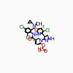 Cc1cc(Cl)cc(C(=O)N(C)C2CC2)c1NC(=O)C1=CC=C(O[SH](=O)=O)N(C2=NNCC2c2ncccc2Cl)C1